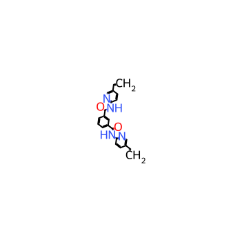 C=Cc1ccc(NC(=O)c2cccc(C(=O)Nc3ccc(C=C)cn3)c2)nc1